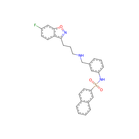 O=S(=O)(Nc1cccc(CNCCCc2noc3cc(F)ccc23)c1)c1ccc2ccccc2c1